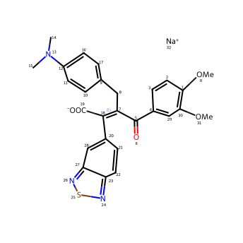 COc1ccc(C(=O)/C(Cc2ccc(N(C)C)cc2)=C(/C(=O)[O-])c2ccc3nsnc3c2)cc1OC.[Na+]